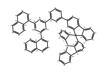 c1cc(-c2ccc3c(c2)C2(c4ccccc4-3)c3ccccc3-n3c4ccccc4c4cccc2c43)cc(-c2nc(-c3cccc4ccccc34)nc(-c3cccc4ccccc34)n2)c1